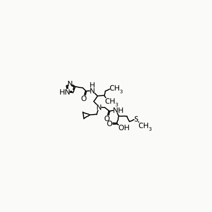 CCC(C)C(CN(CC(=O)NC(CCSC)C(=O)O)CC1CC1)NC(=O)Cc1c[nH]cn1